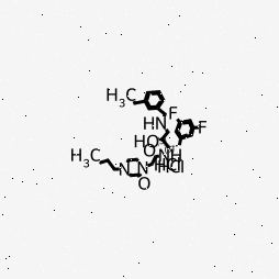 CCCCN1CCN(CC(=O)N[C@@H](Cc2cc(F)cc(F)c2)[C@@H](O)CNCc2cccc(CC)c2)C(=O)C1.Cl.Cl